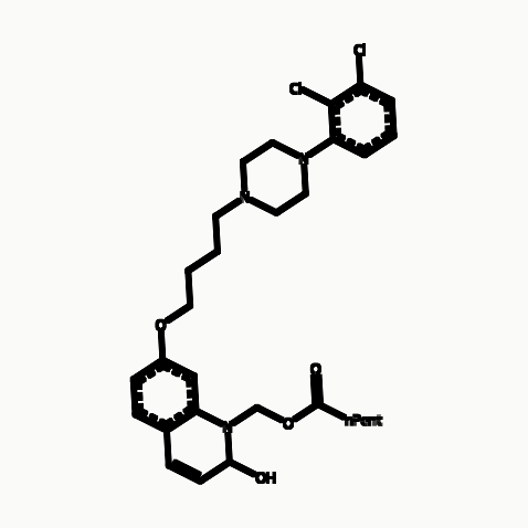 CCCCCC(=O)OCN1c2cc(OCCCCN3CCN(c4cccc(Cl)c4Cl)CC3)ccc2C=CC1O